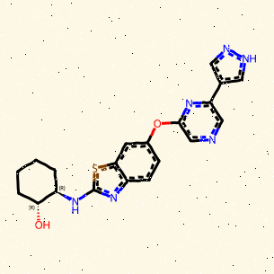 O[C@@H]1CCCC[C@H]1Nc1nc2ccc(Oc3cncc(-c4cn[nH]c4)n3)cc2s1